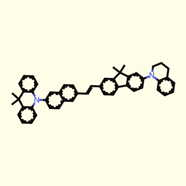 CC1(C)c2cc(/C=C/c3ccc4cc(N5c6ccccc6C(C)(C)c6ccccc65)ccc4c3)ccc2-c2ccc(N3CCCc4ccccc43)cc21